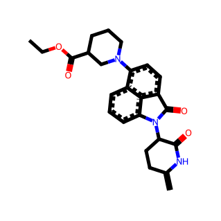 C=C1CCC(N2C(=O)c3ccc(N4CCCC(C(=O)OCC)C4)c4cccc2c34)C(=O)N1